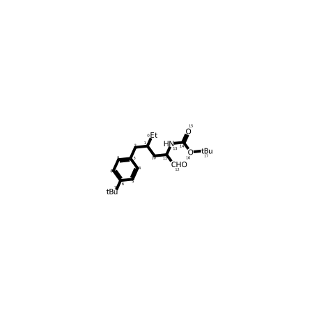 CCC(Cc1ccc(C(C)(C)C)cc1)CC(C=O)NC(=O)OC(C)(C)C